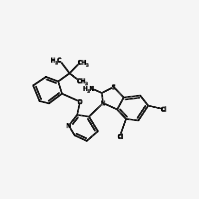 CC(C)(C)c1ccccc1Oc1ncccc1N1c2c(Cl)cc(Cl)cc2SC1N